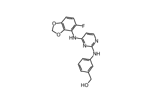 OCc1cccc(Nc2nccc(Nc3c(F)ccc4c3OCO4)n2)c1